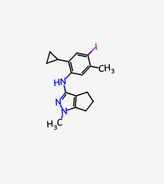 Cc1cc(Nc2nn(C)c3c2CCC3)c(C2CC2)cc1I